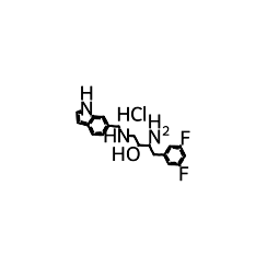 Cl.N[C@@H](Cc1cc(F)cc(F)c1)[C@H](O)CNCc1ccc2cc[nH]c2c1